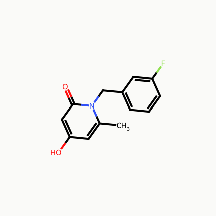 Cc1cc(O)cc(=O)n1Cc1cccc(F)c1